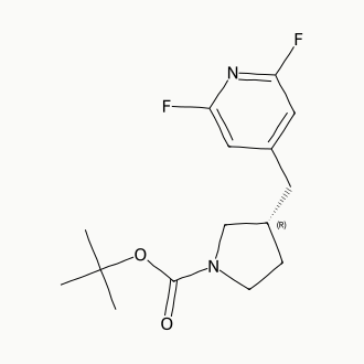 CC(C)(C)OC(=O)N1CC[C@@H](Cc2cc(F)nc(F)c2)C1